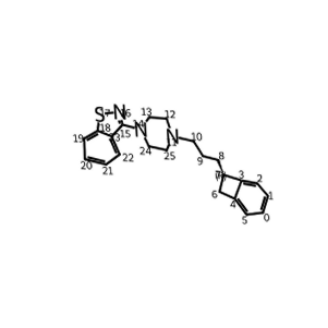 c1ccc2c(c1)C[C@H]2CCCN1CCN(c2nsc3ccccc23)CC1